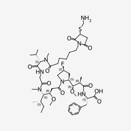 CC[C@H](C)[C@@H]([C@@H](CC(=O)N1C[C@@H](F)C[C@H]1[C@H](OC)[C@@H](C)C(=O)N[C@@H](Cc1ccccc1)C(=O)O)OC)N(C)C(=O)CNC(=O)[C@H](C(C)C)N(C)C(=O)CCCCCN1C(=O)CC(SCN)C1=O